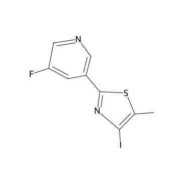 Cc1sc(-c2cncc(F)c2)nc1I